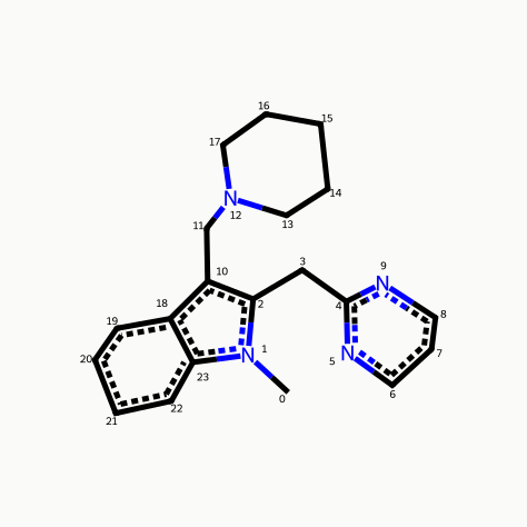 Cn1c(Cc2ncccn2)c(CN2CCCCC2)c2ccccc21